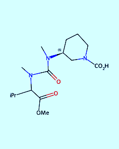 COC(=O)C(C(C)C)N(C)C(=O)N(C)[C@H]1CCCN(C(=O)O)C1